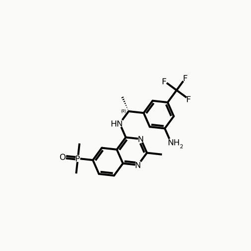 Cc1nc(N[C@H](C)c2cc(N)cc(C(F)(F)F)c2)c2cc(P(C)(C)=O)ccc2n1